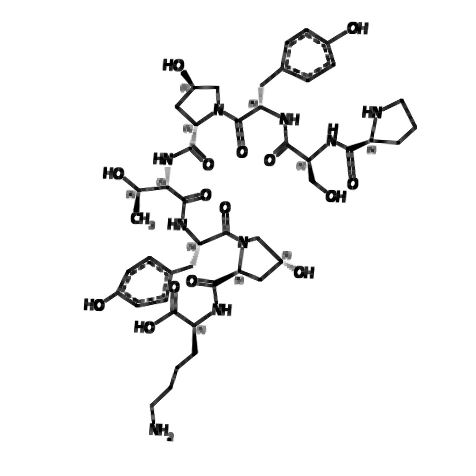 C[C@@H](O)[C@H](NC(=O)[C@@H]1C[C@@H](O)CN1C(=O)[C@H](Cc1ccc(O)cc1)NC(=O)[C@H](CO)NC(=O)[C@@H]1CCCN1)C(=O)N[C@@H](Cc1ccc(O)cc1)C(=O)N1C[C@H](O)C[C@H]1C(=O)N[C@@H](CCCCN)C(=O)O